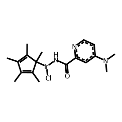 CC1=C(C)[C](C)([Ir]([Cl])[NH]C(=O)c2cc(N(C)C)ccn2)C(C)=C1C